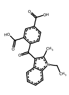 CCn1c(C)c(C(=O)c2ccc(C(=O)O)cc2C(=O)O)c2ccccc21